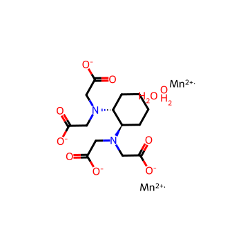 O.O.O=C([O-])CN(CC(=O)[O-])[C@@H]1CCCC[C@H]1N(CC(=O)[O-])CC(=O)[O-].[Mn+2].[Mn+2]